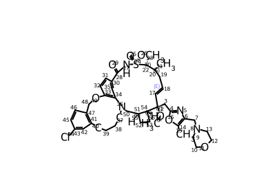 CO[C@@]1(Cc2nc(CN3CCOCC3)c(C)o2)/C=C/C[C@H](C)[C@@H](C)S(=O)(=O)NC(=O)c2ccc3c(c2)N(CCCCc2cc(Cl)ccc2CO3)C[C@@H]2CC[C@H]21